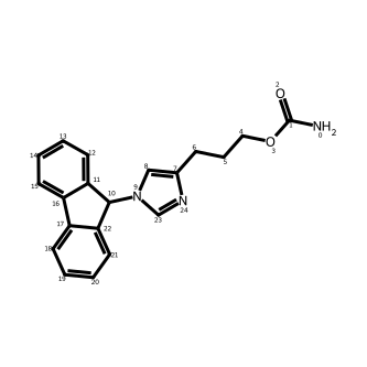 NC(=O)OCCCc1cn(C2c3ccccc3-c3ccccc32)cn1